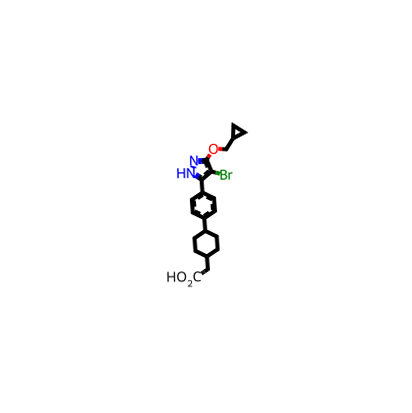 O=C(O)CC1CCC(c2ccc(-c3[nH]nc(OCC4CC4)c3Br)cc2)CC1